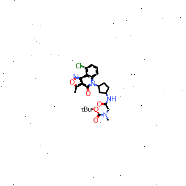 Cc1onc2c1c(=O)n(C1CCC(NC(=O)CN(C)C(=O)OC(C)(C)C)C1)c1cccc(Cl)c21